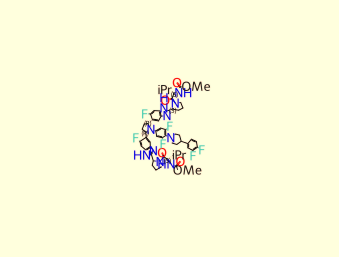 COC(=O)N[C@H](C(=O)N1CCCC1c1nc2cc([C@H]3CC[C@H](c4cc5nc([C@@H]6CCCN6C(=O)[C@@H](NC(=O)OC)C(C)C)[nH]c5cc4F)N3c3cc(F)c(N4CCC(c5ccc(F)c(F)c5)CC4)c(F)c3)c(F)cc2[nH]1)C(C)C